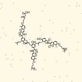 CC(C)=CCc1cc(C(=O)Nc2cc3ccc(OCCCNCC(=O)O)c(C)c3oc2=O)cc(C/C(C)=C/Cc2cc(C(=O)Nc3cc4ccc(OCCCN(C)C(C)(C)C)c(C)c4oc3=O)cc(C/C(C)=C/Cc3cc(C(=O)Nc4cc5ccc(OCCCNC(C)(C)C)c(C)c5oc4=O)ccc3O)c2O)c1O